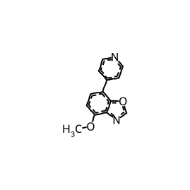 COc1ccc(-c2ccncc2)c2ocnc12